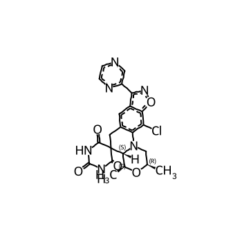 C[C@@H]1CN2c3c(cc4c(-c5cnccn5)noc4c3Cl)CC3(C(=O)NC(=O)NC3=O)[C@H]2[C@H](C)O1